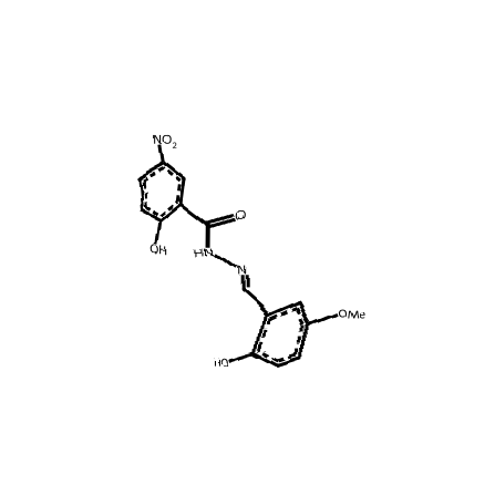 COc1ccc(O)c(C=NNC(=O)c2cc([N+](=O)[O-])ccc2O)c1